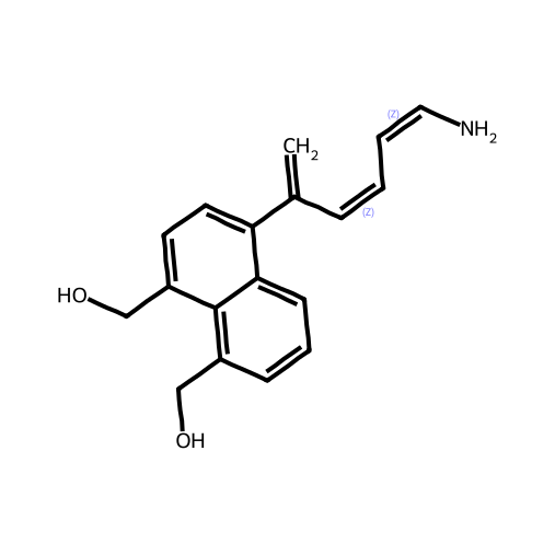 C=C(/C=C\C=C/N)c1ccc(CO)c2c(CO)cccc12